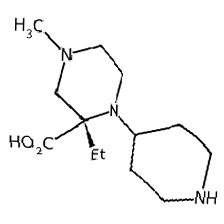 CC[C@@]1(C(=O)O)CN(C)CCN1C1CCNCC1